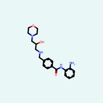 Nc1ccccc1NC(=O)c1ccc(CNCC(O)CN2CCOCC2)cc1